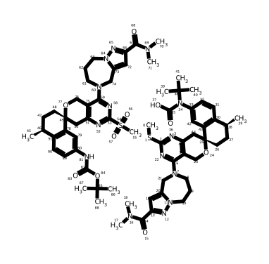 CSc1nc2c(c(N3CCCn4nc(C(=O)N(C)C)cc4C3)n1)CO[C@]1(CC[C@H](C)c3ccc(N(C(=O)O)C(C)(C)C)cc31)C2.C[C@H]1CC[C@@]2(Cc3nc(S(C)(=O)=O)nc(N4CCCn5nc(C(=O)N(C)C)cc5C4)c3CO2)c2cc(NC(=O)OC(C)(C)C)ccc21